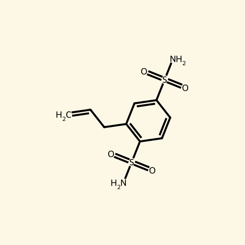 C=CCc1cc(S(N)(=O)=O)ccc1S(N)(=O)=O